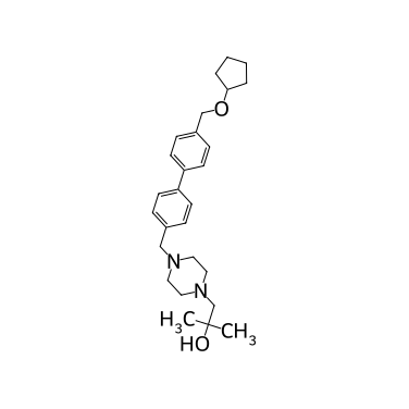 CC(C)(O)CN1CCN(Cc2ccc(-c3ccc(COC4CCCC4)cc3)cc2)CC1